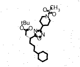 CC(C)(C)OC(=O)C[C@@H](CCCC1CCCCC1)c1nc(C2CCN(S(C)(=O)=O)CC2)no1